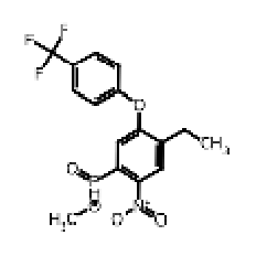 CCc1cc([N+](=O)[O-])c([PH](=O)OC)cc1Oc1ccc(C(F)(F)F)cc1